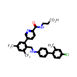 Cc1cc(Cl)ccc1-c1ccc(NCc2c(-c3ccc(C(=O)NCCC(=O)O)nc3)cc(C(F)(F)F)cc2C(F)(F)F)cc1